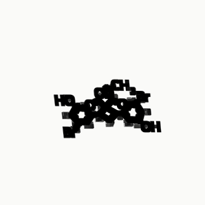 COC(=O)C1(C(=O)O)C(c2cc(O)cc(Br)c2)CC1c1cc(O)cc(Br)c1